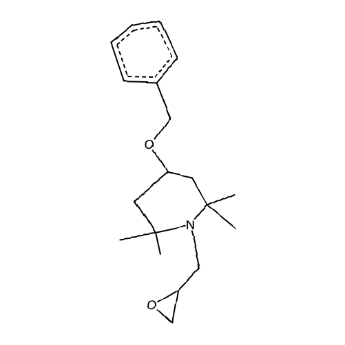 CC1(C)CC(OCc2ccccc2)CC(C)(C)N1CC1CO1